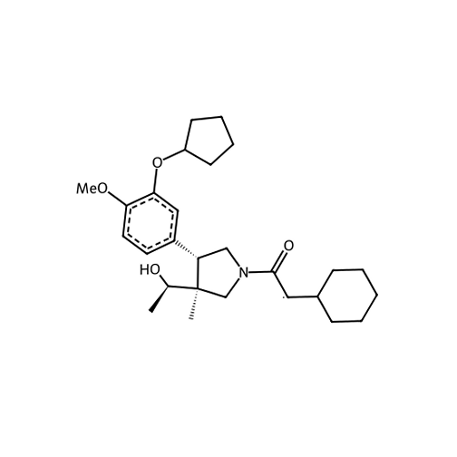 COc1ccc([C@@H]2CN(C(=O)[CH]C3CCCCC3)C[C@@]2(C)[C@@H](C)O)cc1OC1CCCC1